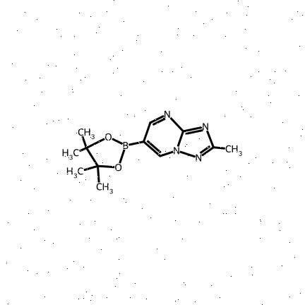 Cc1nc2ncc(B3OC(C)(C)C(C)(C)O3)cn2n1